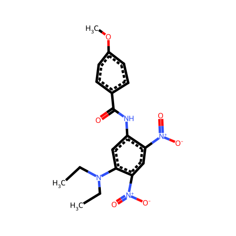 CCN(CC)c1cc(NC(=O)c2ccc(OC)cc2)c([N+](=O)[O-])cc1[N+](=O)[O-]